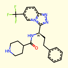 O=C(N[C@H](CCc1ccccc1)c1nnc2ccc(C(F)(F)F)cn12)C1CCNCC1